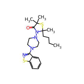 CCCCC1(C)SC(C)(C)C(=O)N1N1CCN(c2nsc3ccccc23)CC1